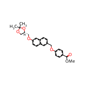 COC(=O)c1ccc(OCc2ccc3cc(OC[C@@H]4COC(C)(C)O4)ccc3c2)cc1